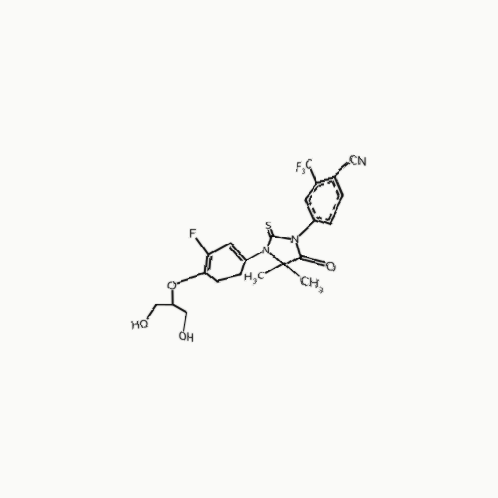 CC1(C)C(=O)N(c2ccc(C#N)c(C(F)(F)F)c2)C(=S)N1C1=CC(F)=C(OC(CO)CO)CC1